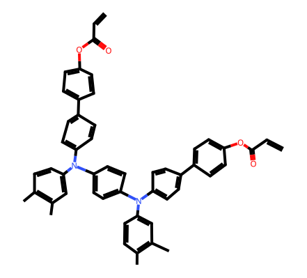 C=CC(=O)Oc1ccc(-c2ccc(N(c3ccc(N(c4ccc(-c5ccc(OC(=O)C=C)cc5)cc4)c4ccc(C)c(C)c4)cc3)c3ccc(C)c(C)c3)cc2)cc1